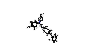 CCO/N=C(\CCN1CCN(c2ccccn2)CC1)c1cccc(C)c1